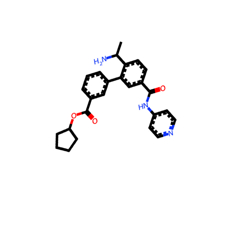 CC(N)c1ccc(C(=O)Nc2ccncc2)cc1-c1cccc(C(=O)OC2CCCC2)c1